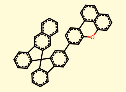 c1ccc2c(c1)-c1ccc(-c3ccc4c(c3)Oc3cccc5cccc-4c35)cc1C21c2ccccc2-c2cc3ccccc3cc21